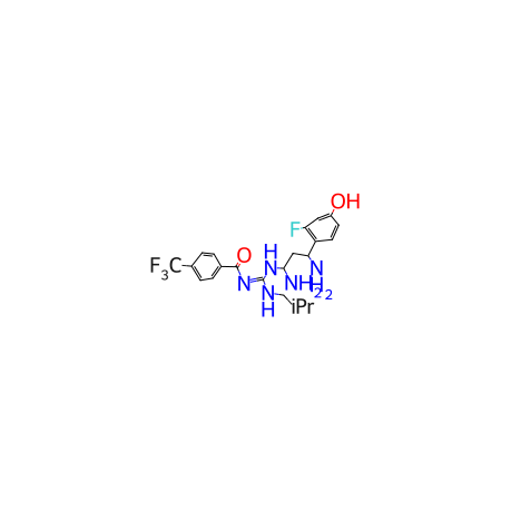 CC(C)CN/C(=N/C(=O)c1ccc(C(F)(F)F)cc1)NC(N)CC(N)c1ccc(O)cc1F